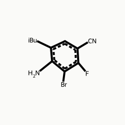 CCC(C)c1cc(C#N)c(F)c(Br)c1N